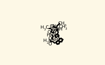 CC[C@H](C)C(NC(=O)C(CC(C)C)NC(=O)Cc1cncnc1)C(=O)C(=O)NCC(=O)NC(Cc1ccc2ccccc2c1)C(N)=O